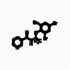 CC(NC(=O)c1cccnc1)Oc1c(Br)cc(Br)cc1Br